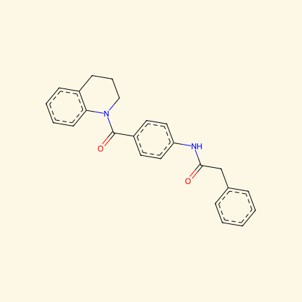 O=C(Cc1ccccc1)Nc1ccc(C(=O)N2CCCc3ccccc32)cc1